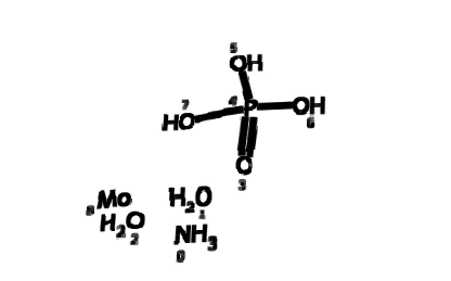 N.O.O.O=P(O)(O)O.[Mo]